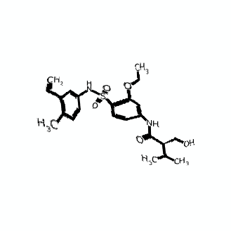 C=Cc1cc(NS(=O)(=O)c2ccc(NC(=O)[C@@H](CO)C(C)C)cc2OCC)ccc1C